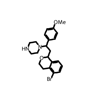 COc1ccc(C(CC2OCCc3c(Br)cccc32)N2CCNCC2)cc1